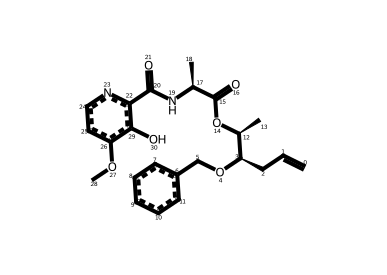 C=CC[C@@H](OCc1ccccc1)[C@H](C)OC(=O)[C@H](C)NC(=O)c1nccc(OC)c1O